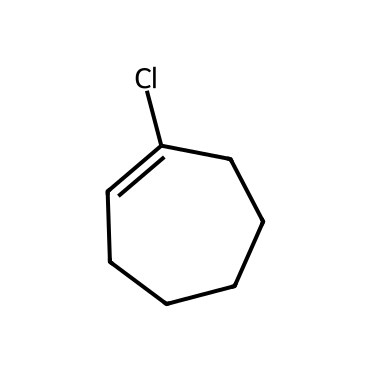 ClC1=CCCCCC1